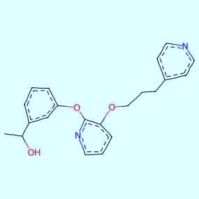 CC(O)c1cccc(Oc2ncccc2OCCCc2ccncc2)c1